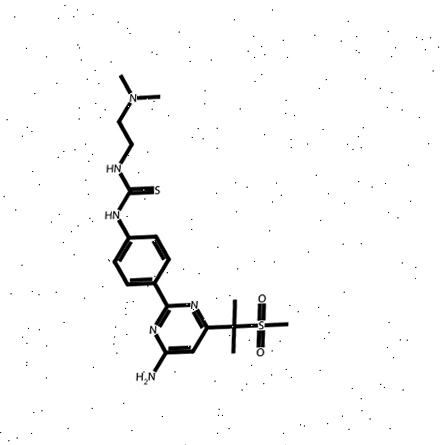 CN(C)CCNC(=S)Nc1ccc(-c2nc(N)cc(C(C)(C)S(C)(=O)=O)n2)cc1